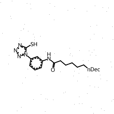 CCCCCCCCCCCCCCCC(=O)Nc1cccc(-n2nnnc2S)c1